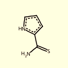 NC(=S)c1ccc[nH]1